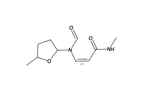 CNC(=O)/C=C\N(C=O)C1CCC(C)O1